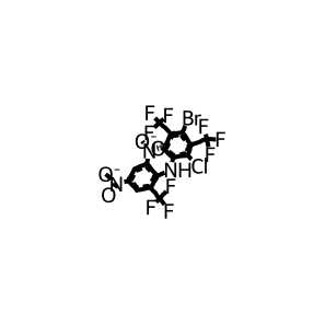 O=[N+]([O-])c1cc([N+](=O)[O-])c(Nc2cc(C(F)(F)F)c(Br)c(C(F)(F)F)c2Cl)c(C(F)(F)F)c1